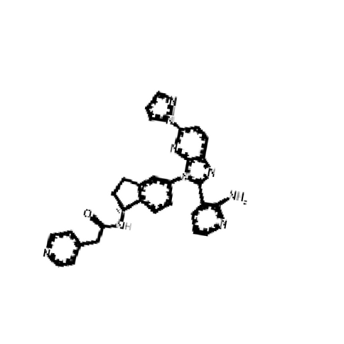 Nc1ncccc1-c1nc2ccc(-n3cccn3)nc2n1-c1ccc2c(c1)CC[C@@H]2NC(=O)Cc1ccncc1